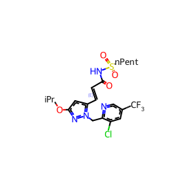 CCCCCS(=O)(=O)NC(=O)/C=C/c1cc(OC(C)C)nn1Cc1ncc(C(F)(F)F)cc1Cl